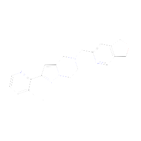 Cc1cccnc1-c1cc2n(n1)CCN(Cc1cc3c(cn1)COC3)C2